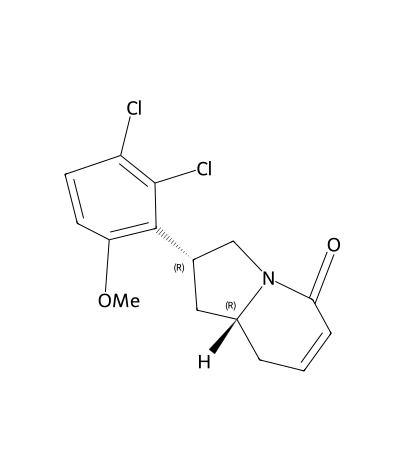 COc1ccc(Cl)c(Cl)c1[C@H]1C[C@H]2CC=CC(=O)N2C1